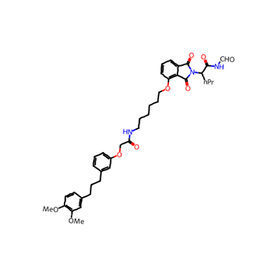 CCCC(C(=O)NC=O)N1C(=O)c2cccc(OCCCCCCNC(=O)COc3cccc(CCCc4ccc(OC)c(OC)c4)c3)c2C1=O